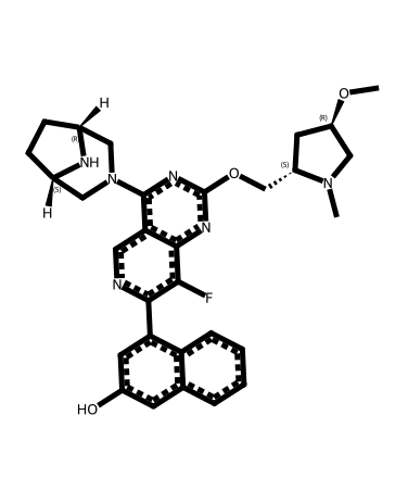 CO[C@@H]1C[C@@H](COc2nc(N3C[C@H]4CC[C@@H](C3)N4)c3cnc(-c4cc(O)cc5ccccc45)c(F)c3n2)N(C)C1